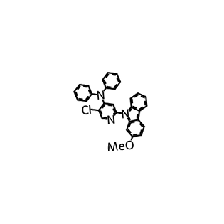 COc1ccc2c3ccccc3n(-c3cc(N(c4ccccc4)c4ccccc4)c(Cl)cn3)c2c1